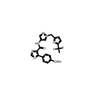 COc1ccc(-c2ocnc2C(=O)Nc2cnn(Cc3ccc(C(C)(F)F)o3)c2)cc1